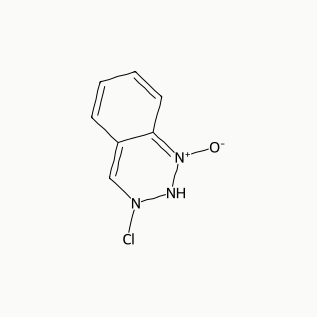 [O-][N+]1=c2ccccc2=CN(Cl)N1